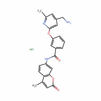 Cc1cc(=O)oc2cc(NC(=O)c3cccc(Oc4cc(CN)cc(C(F)(F)F)n4)c3)ccc12.Cl